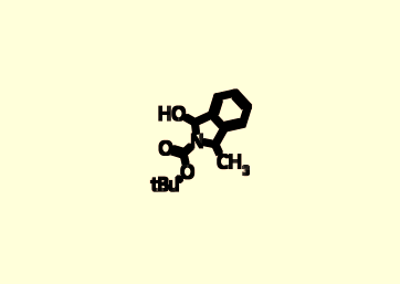 CC1c2ccccc2C(O)N1C(=O)OC(C)(C)C